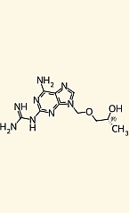 C[C@@H](O)COCn1cnc2c(N)nc(NC(=N)N)nc21